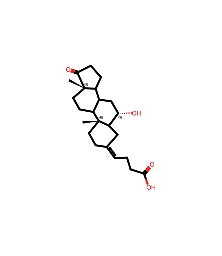 C[C@]12CC/C(=C/CCC(=O)O)CC1[C@@H](O)CC1C2CC[C@]2(C)C(=O)CCC12